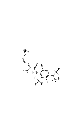 C=C(F)/C(=C\C=C/CN)C(=O)Nc1c(Br)cc(C(C(F)(F)F)C(F)(F)F)c(C)c1C(F)(F)F